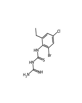 CCc1cc(Cl)cc(Br)c1NC(=S)NC(=N)N